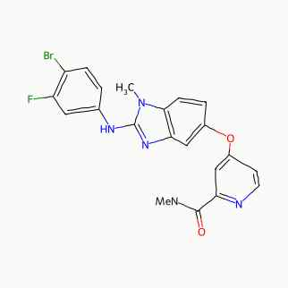 CNC(=O)c1cc(Oc2ccc3c(c2)nc(Nc2ccc(Br)c(F)c2)n3C)ccn1